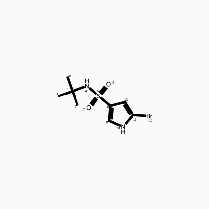 CC(C)(C)NS(=O)(=O)c1c[nH]c(Br)c1